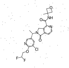 CC(c1cnc(OCC(F)F)c(Cl)c1)N1Cc2c(ccnc2C(=O)NC2(C)COC2)C1=O